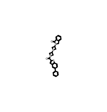 O=C(c1cc2cc(-c3ccccc3)ccc2s1)N1CC(N2CC(N3Cc4ccccc4C3=O)C2)C1